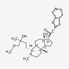 COCC(C)(O)CC[C@@H]1[C@H]2CC[C@]3(C)[C@@H](C(=O)Cn4cc5ccncc5n4)CC[C@H]3[C@@H]2CC[C@@H]1C